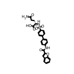 NC(=O)CC[C@H](NS(=O)(=O)c1ccc(-c2ccc(NC(=O)c3cc4ccccc4o3)cc2)cc1)C(=O)O